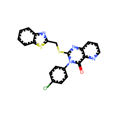 O=c1c2ncccc2nc(SCc2nc3ccccc3s2)n1-c1ccc(Cl)cc1